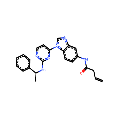 C=CCC(=O)Nc1ccc2c(c1)ncn2-c1ccnc(N[C@@H](C)c2ccccc2)n1